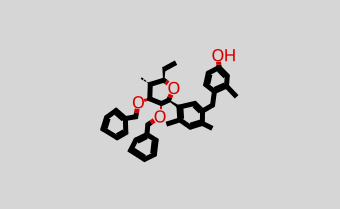 CC[C@H]1O[C@@H](c2cc(Cc3ccc(O)cc3C)c(C)cc2C)[C@H](OCc2ccccc2)[C@@H](OCc2ccccc2)[C@@H]1C